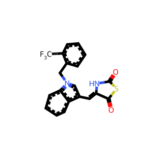 O=C1NC(=Cc2cn(Cc3ccccc3C(F)(F)F)c3ccccc23)C(=O)S1